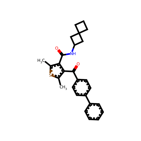 Cc1sc(C)c(C(=O)c2ccc(-c3ccccc3)cc2)c1C(=O)NC1CC2(CCC2)C1